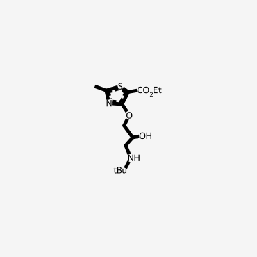 CCOC(=O)c1sc(C)nc1OCC(O)CNC(C)(C)C